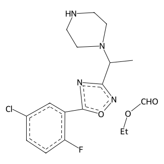 CC(c1noc(-c2cc(Cl)ccc2F)n1)N1CCNCC1.CCOC=O